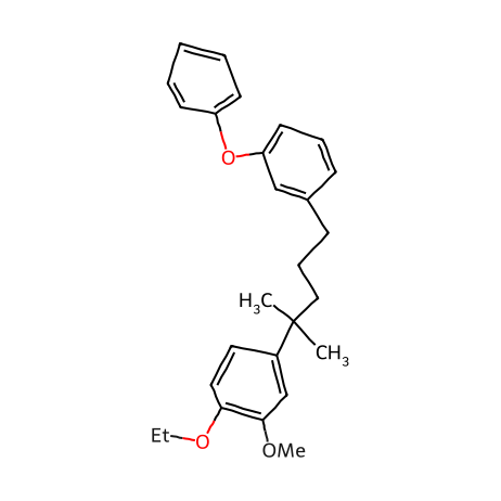 CCOc1ccc(C(C)(C)CCCc2cccc(Oc3ccccc3)c2)cc1OC